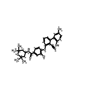 Cc1cnc(O)c(-c2cccc(Oc3ccc(C(=O)NC4CC(C)(C)OC(C)(C)C4)cc3Cl)c2C#N)c1